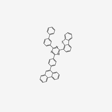 c1ccc(-c2cccc(-c3nc(-c4ccc(-c5cc6ccccc6c6ccccc56)cc4)nc(-c4cccc5c4sc4ccccc45)n3)c2)cc1